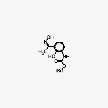 C/C(=N/O)c1cccc(NC(=O)OC(C)(C)C)c1O